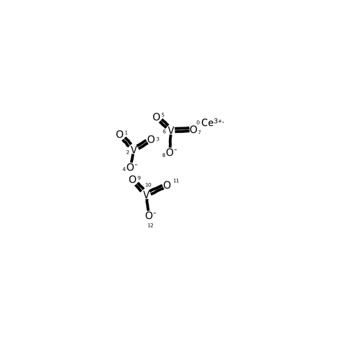 [Ce+3].[O]=[V](=[O])[O-].[O]=[V](=[O])[O-].[O]=[V](=[O])[O-]